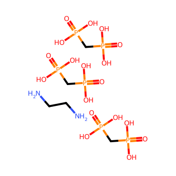 NCCN.O=P(O)(O)CP(=O)(O)O.O=P(O)(O)CP(=O)(O)O.O=P(O)(O)CP(=O)(O)O